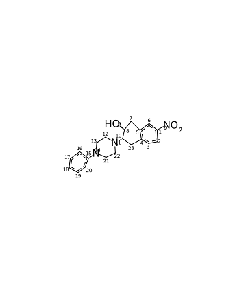 O=[N+]([O-])c1ccc2c(c1)C[C@H](O)[C@@H](N1CCN(c3ccccc3)CC1)C2